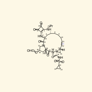 CC(C)Nc1c(N[C@H]2CCCCC/C=C\[C@@H]3C[C@@]3(C(=O)NS(=O)(=O)C3CC3)NC(=O)[C@@H]3C[C@@H](OC=O)CN3C2=O)c(=O)c1=O